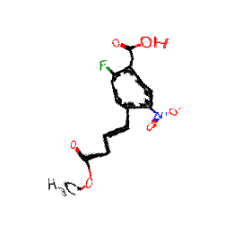 COC(=O)CC=Cc1cc(F)c(C(=O)O)cc1[N+](=O)[O-]